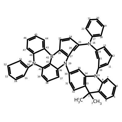 CC1(C)c2ccccc2N2c3cccc(c3)N(c3ccccc3)c3ccc4c(c3)N(c3ccc1c2c3)c1cccc2c1B4c1ccccc1N2c1ccccc1